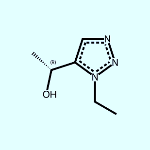 CCn1nncc1[C@@H](C)O